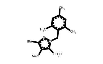 COc1c(C(C)(C)C)nn(Cc2c(C)cc(C)cc2C)c1C(=O)O